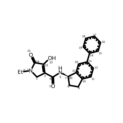 CCN1CC(C(=O)N[C@@H]2CCc3ccc(-c4ccccc4)cc32)=C(O)C1=O